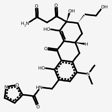 CN(C)c1cc(CNC(=O)c2ccno2)c(O)c2c1C[C@H]1C[C@@H](CCO)[C@@](O)(C(=O)CC(N)=O)C(O)=C1C2=O